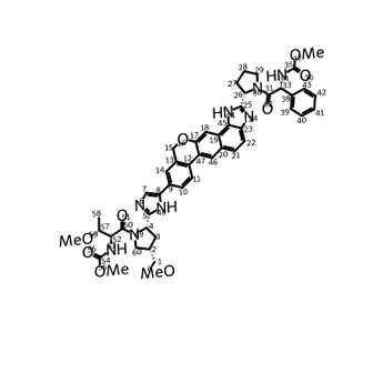 COC[C@H]1C[C@@H](c2ncc(-c3ccc4c(c3)COc3cc5c(ccc6nc([C@@H]7CCCN7C(=O)[C@H](NC(=O)OC)c7ccccc7)[nH]c65)cc3-4)[nH]2)N(C(=O)[C@@H](NC(=O)OC)[C@@H](C)OC)C1